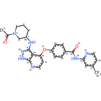 CCC(=O)N1CCC[C@@H](Nc2n[nH]c3nccc(Oc4ccc(C(=O)Nc5cc(C(F)(F)F)ccn5)cc4)c23)C1